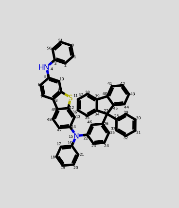 c1ccc(Nc2ccc3c(c2)sc2cc(N(c4ccccc4)c4cccc(C5(c6ccccc6)c6ccccc6-c6ccccc65)c4)ccc23)cc1